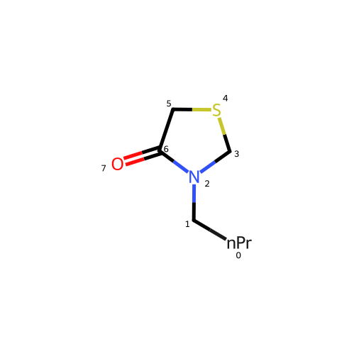 CCCCN1CSCC1=O